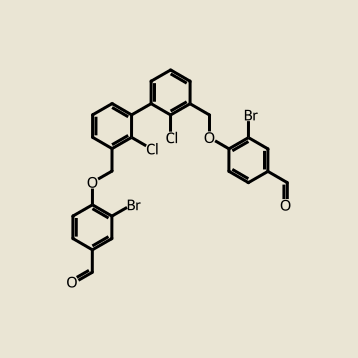 O=Cc1ccc(OCc2cccc(-c3cccc(COc4ccc(C=O)cc4Br)c3Cl)c2Cl)c(Br)c1